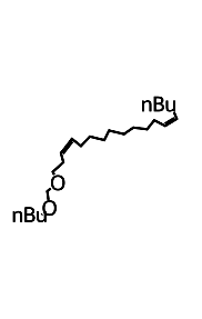 CCCC/C=C\CCCCCCCC/C=C\CCOCOCCCC